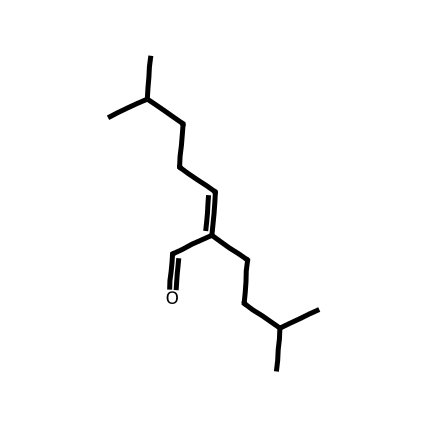 CC(C)CCC=C(C=O)CCC(C)C